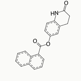 O=C1CCc2cc(OC(=O)c3cccc4ccccc34)ccc2N1